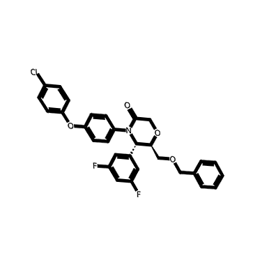 O=C1CO[C@@H](COCc2ccccc2)[C@H](c2cc(F)cc(F)c2)N1c1ccc(Oc2ccc(Cl)cc2)cc1